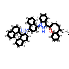 C=C1/C=C\C=C(\C2NN(c3ccc(Nc4ccc5ccccc5c4-c4cccc5ccccc45)c4ccccc34)c3ccccc32)Oc2ccccc21